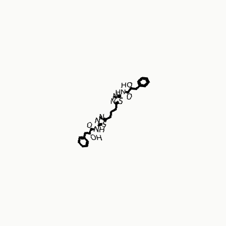 O=C(Nc1nnc(CCCc2nnc(NC(=O)C(O)Cc3ccccc3)s2)s1)C(O)CC1=CCCC=C1